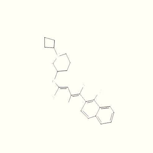 CC(/C=C(\N)NC1CCCN(C2CCC2)C1)=C(/N)c1ccc2ccccc2c1O